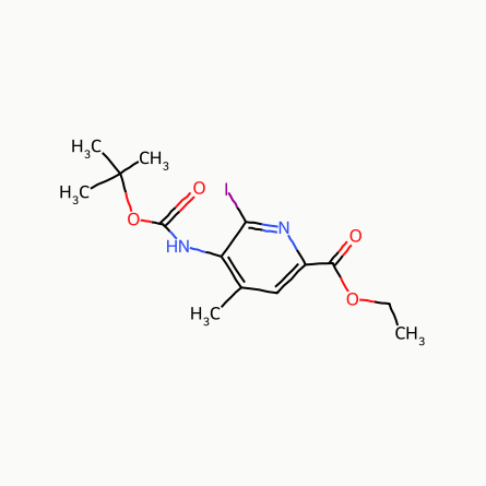 CCOC(=O)c1cc(C)c(NC(=O)OC(C)(C)C)c(I)n1